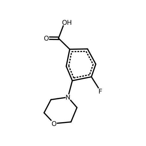 O=C(O)c1ccc(F)c(N2CCOCC2)c1